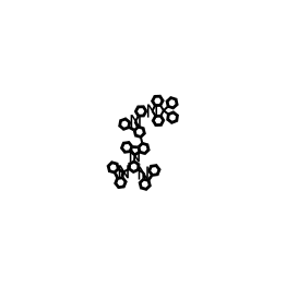 c1ccc(C2(c3ccccc3)c3ccccc3N(c3cccc(-n4c5ccccc5c5cc(-c6cccc7c6c6ccccc6n7-c6cc(-n7c8ccccc8c8ccccc87)cc(-n7c8ccccc8c8ccccc87)c6)ccc54)c3)c3ccccc32)cc1